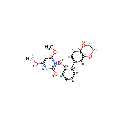 COc1cc(OC)nc(Oc2cccc(-c3ccc4c(c3)OCCO4)c2Br)n1